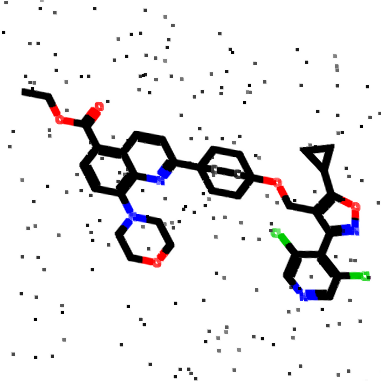 CCOC(=O)c1ccc(N2CCOCC2)c2nc(C34CCC(OCc5c(-c6c(Cl)cncc6Cl)noc5C5CC5)(CC3)CC4)ccc12